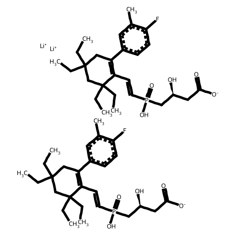 CCC1(CC)CC(c2ccc(F)c(C)c2)=C(C=CP(=O)(O)C[C@@H](O)CC(=O)[O-])C(CC)(CC)C1.CCC1(CC)CC(c2ccc(F)c(C)c2)=C(C=CP(=O)(O)C[C@@H](O)CC(=O)[O-])C(CC)(CC)C1.[Li+].[Li+]